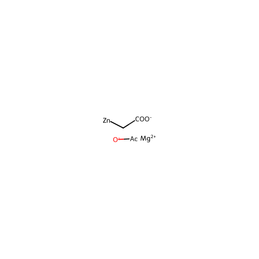 CC(=O)[O-].O=C([O-])[CH2][Zn].[Mg+2]